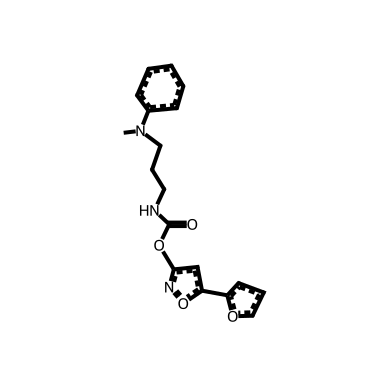 CN(CCCNC(=O)Oc1cc(-c2ccco2)on1)c1ccccc1